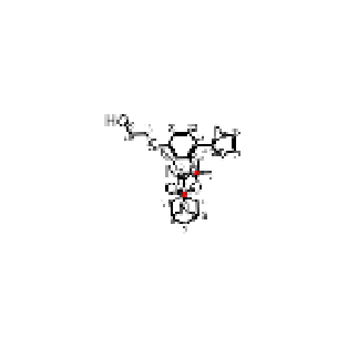 CC(C)(C)OC(=O)N1C2CC1CN(c1nc3c(SCCO)ccc(-c4nccs4)c3o1)C2